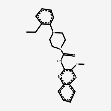 CCc1ccccc1N1CCN(C(=S)Nc2nc3ccccc3nc2OC)CC1